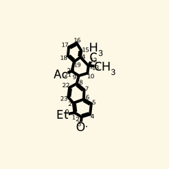 CCc1c([O])ccc2cc(C3CC(C)(C)c4ccccc4C3C(C)=O)ccc12